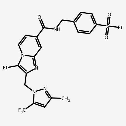 CCc1c(Cn2nc(C)cc2C(F)(F)F)nc2cc(C(=O)NCc3ccc(S(=O)(=O)CC)cc3)ccn12